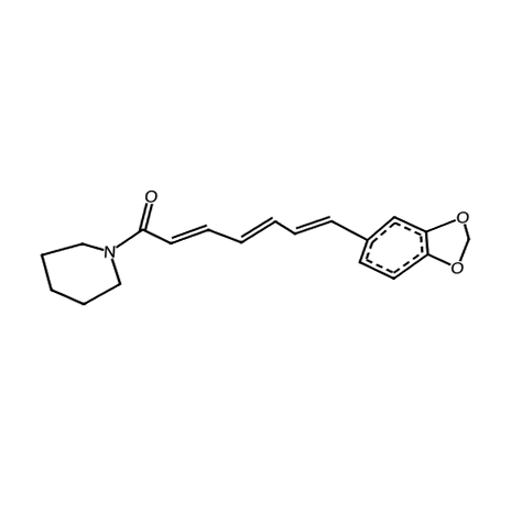 O=C(/C=C/C=C/C=C/c1ccc2c(c1)OCO2)N1CCCCC1